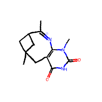 C/C1=N/c2c(c(=O)[nH]c(=O)n2C)CC2(C)CC1C2